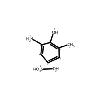 Cc1cccc(N)c1O.O=S(=O)(O)O